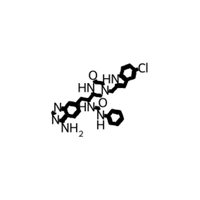 Nc1ncnc2cc(CC(NC(=O)Nc3ccccc3)C3CN(Cc4cc5cc(Cl)ccc5[nH]4)CC(=O)N3)ccc12